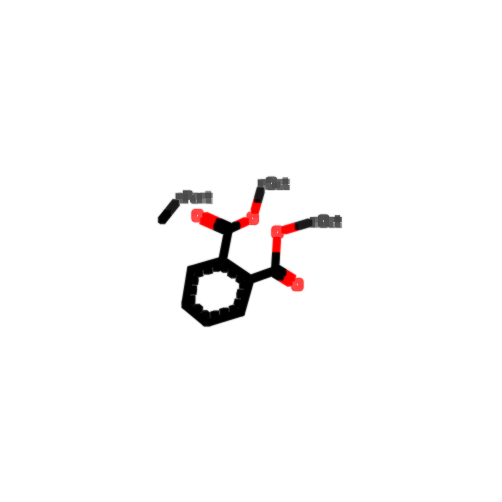 CCCCCC.CCCCCCCCOC(=O)c1ccccc1C(=O)OCCCCCCCC